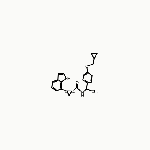 CC(NC(=O)[C@@H]1C[C@H]1c1cccc2cc[nH]c12)c1ccc(OCC2CC2)cn1